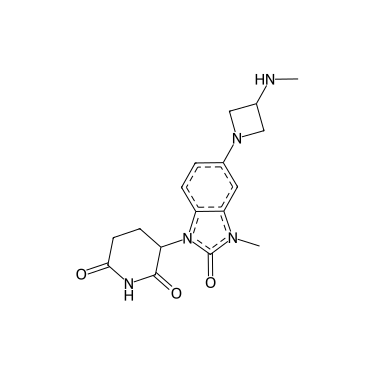 CNC1CN(c2ccc3c(c2)n(C)c(=O)n3C2CCC(=O)NC2=O)C1